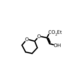 CCOC(=O)C(=CO)OC1CCCCO1